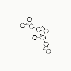 c1ccc(-c2cc(-c3ccc4c(c3)oc3ccccc34)nc(-c3cccc4sc5cc(-c6ccc7c(c6)c6ccccc6n7-c6ccccc6)ccc5c34)n2)cc1